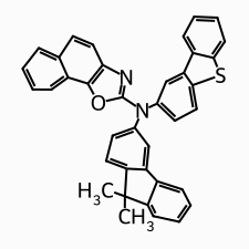 CC1(C)c2ccccc2-c2cc(N(c3ccc4sc5ccccc5c4c3)c3nc4ccc5ccccc5c4o3)ccc21